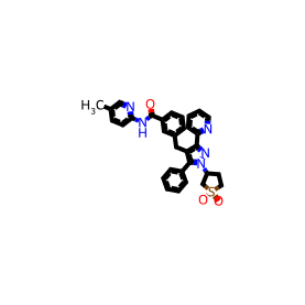 Cc1ccc(NC(=O)c2cccc(Cc3c(-c4ccccn4)nn(C4CCS(=O)(=O)C4)c3-c3ccccc3)c2)nc1